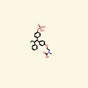 CCC(=C(c1ccc(OCCN(C)C(=O)O)cc1)c1ccc(OP(=O)(O)O)cc1)c1ccccc1